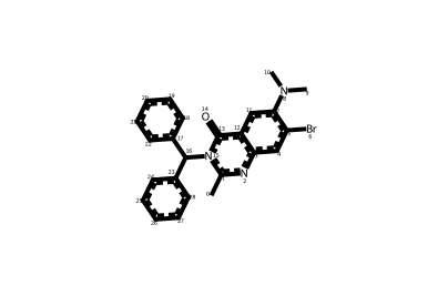 Cc1nc2cc(Br)c(N(C)C)cc2c(=O)n1C(c1ccccc1)c1ccccc1